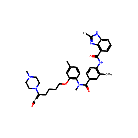 CCc1nc2c(C(=O)Nc3ccc(C(=O)N(C)c4ccc(C)cc4OCCCCC(=C=O)N4CCN(C)CC4)cc3OC)cccc2[nH]1